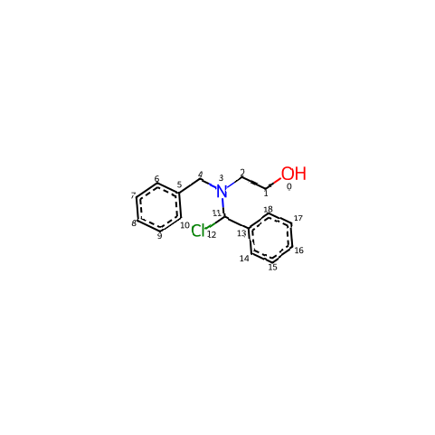 OCCN(Cc1ccccc1)C(Cl)c1ccccc1